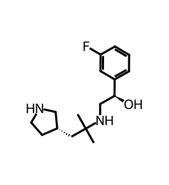 CC(C)(C[C@@H]1CCNC1)NC[C@H](O)c1cccc(F)c1